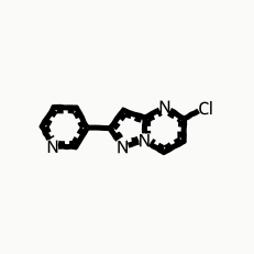 Clc1ccn2nc(-c3cccnc3)cc2n1